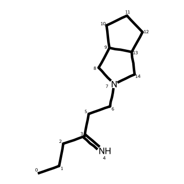 CCCC(=N)CCN1CC2CCCC2C1